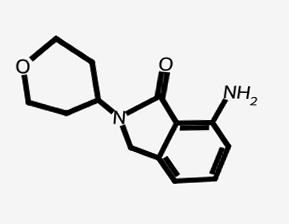 Nc1cccc2c1C(=O)N(C1CCOCC1)C2